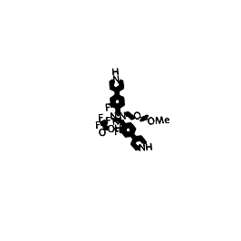 COCCOCCn1c(-c2ccc(C3=CCNCC3)cc2F)nnc1-c1ccc(C2=CCNCC2)cc1F.O=C(O)C(F)(F)F